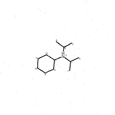 CC(C)[SiH](C(C)C)C1CCCCC1